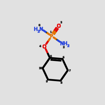 NP(N)(=O)OC1=CCCCC1